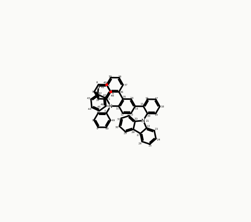 c1ccc(N(c2ccccc2)c2ccc(-c3ccccc3-n3c4ccccc4c4ccccc43)cc2-c2cccc3sc4ccccc4c23)cc1